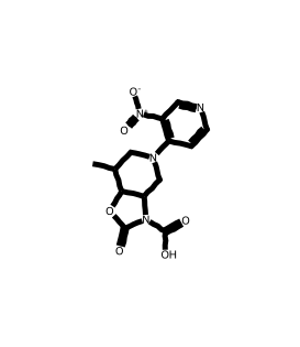 CC1CN(c2ccncc2[N+](=O)[O-])CC2C1OC(=O)N2C(=O)O